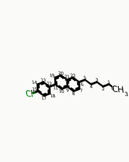 CCCCCCc1ccc2cc(-c3ccc(Cl)cc3)ccc2c1